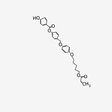 C=CC(=O)OCCCCCCOc1ccc(OCc2ccc(OC(=O)c3ccc(O)cc3)cc2)cc1